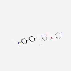 CN1CCC(OC(=O)C[C@@H]2C[C@@H](COc3ccc(-c4ccc(C(=N)N)cc4)cc3)NC2=O)CC1.Cl.Cl